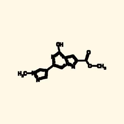 COC(=O)c1cc2c(O)nc(-c3cnn(C)c3)cn2n1